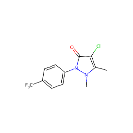 Cc1c(Cl)c(=O)n(-c2ccc(C(F)(F)F)cc2)n1C